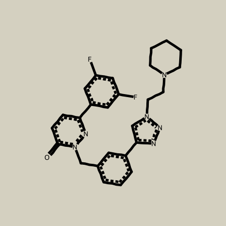 O=c1ccc(-c2cc(F)cc(F)c2)nn1Cc1cccc(-c2cn(CCN3CCCCC3)nn2)c1